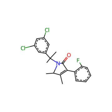 CC1=C(c2ccccc2F)C(=O)N(C(C)(C)c2cc(Cl)cc(Cl)c2)C1C